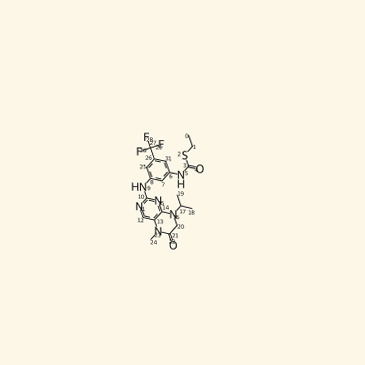 CCSC(=O)Nc1cc(Nc2ncc3c(n2)N(C(C)C)CC(=O)N3C)cc(C(F)(F)F)c1